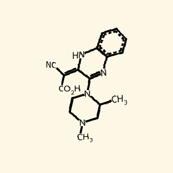 CC1CN(C)CCN1C1=Nc2ccccc2NC1=C(C#N)C(=O)O